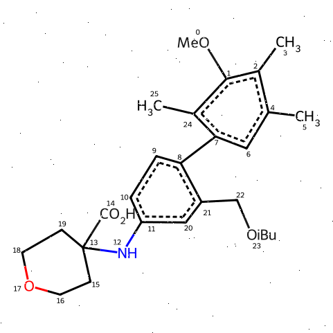 COc1c(C)c(C)cc(-c2ccc(NC3(C(=O)O)CCOCC3)cc2COCC(C)C)c1C